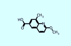 COc1ccc2cc(C(=O)O)cc(C)c2n1